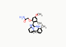 COc1cc(C)c(-c2nc3cccc(C)n3c2Nc2c(C)cccc2C)c(OCC(N)=O)c1